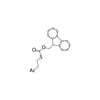 CC(=O)CCSC(=O)OCC1c2ccccc2-c2ccccc21